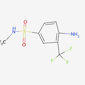 CNS(=O)(=O)c1ccc(N)c(C(F)(F)F)c1